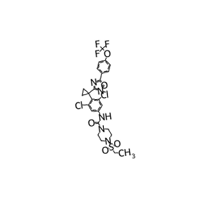 CCS(=O)(=O)N1CCN(C(=O)Nc2cc(Cl)c(C3(c4noc(-c5ccc(OC(F)(F)F)cc5)n4)CC3)c(Cl)c2)CC1